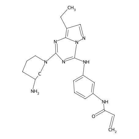 C=CC(=O)Nc1cccc(Nc2nc(N3CCCC(N)C3)nc3c(CC)cnn23)c1